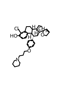 C[C@]12C[C@H](c3ccc(OCCCN4CCCCC4)cc3)[C@@H]3c4ccc(O)c(Cl)c4CC[C@H]3[C@@H]1CC[C@@]21C=CCO1